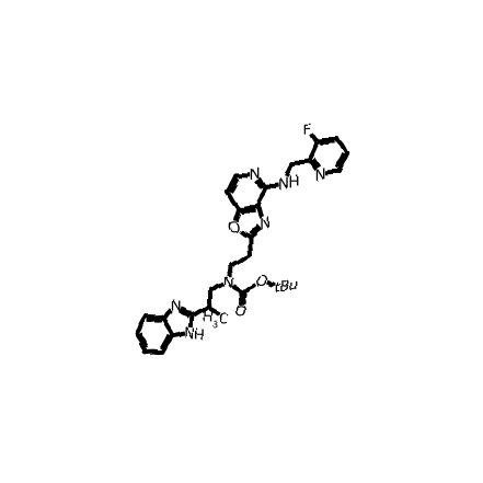 CC(CN(CCc1nc2c(NCc3ncccc3F)nccc2o1)C(=O)OC(C)(C)C)c1nc2ccccc2[nH]1